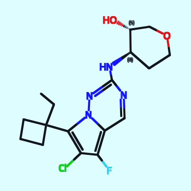 CCC1(c2c(Cl)c(F)c3cnc(N[C@@H]4CCOC[C@H]4O)nn23)CCC1